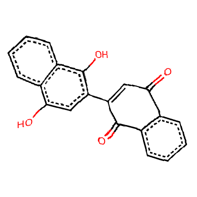 O=C1C=C(c2cc(O)c3ccccc3c2O)C(=O)c2ccccc21